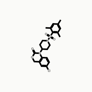 Cc1cc(C)c(S(=O)(=O)N2CCC(N3C(=O)OCc4cc(Cl)ccc43)CC2)c(C)c1